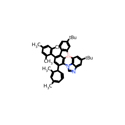 CC1=CC#CC(c2cc(-c3c(C)cc(C)cc3C)c3c4c2-n2cnc5cc(C(C)(C)C)cc(c52)B4c2cc(C(C)(C)C)ccc2-3)C(C)=C1